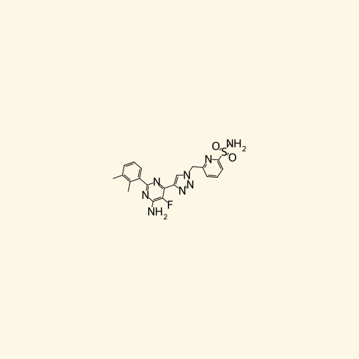 Cc1cccc(-c2nc(N)c(F)c(-c3cn(Cc4cccc(S(N)(=O)=O)n4)nn3)n2)c1C